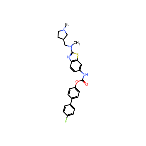 CCN1CCC(CN(C)c2nc3ccc(NC(=O)Oc4ccc(-c5ccc(F)cc5)cc4)cc3s2)C1